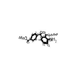 COC(=O)c1ccc(C(=O)c2cccc(N)c2C(=O)OC)cc1